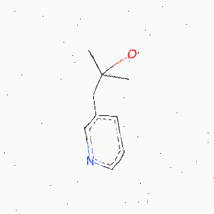 CC(C)([O])Cc1cccnc1